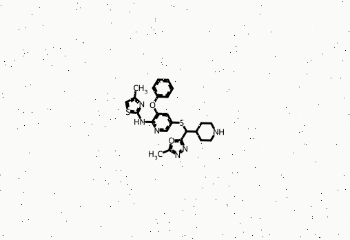 Cc1csc(Nc2ncc(SC(c3nnc(C)o3)C3CCNCC3)cc2Oc2ccccc2)n1